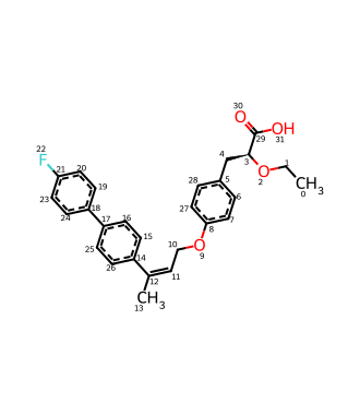 CCO[C@@H](Cc1ccc(OCC=C(C)c2ccc(-c3ccc(F)cc3)cc2)cc1)C(=O)O